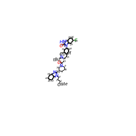 COCCCn1c([C@@H]2CCCN(C(=O)C[C@@H](Cc3ccc(-n4c(=O)[nH]c5ccc(F)cc54)cc3)N(C(=O)O)C(C)(C)C)C2)nc2ccccc21